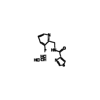 Cl.Cl.Cl.O=C(NCc1ncccc1F)c1cscn1